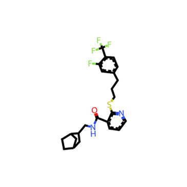 O=C(NCC1CC2CCC1C2)c1cccnc1SCCCc1ccc(C(F)(F)F)c(F)c1